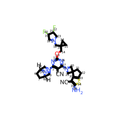 N#Cc1c(N2C[C@H]3CC[C@@H](C2)N3)nc(OCC2(CN3C[C@@H](F)[C@@H](F)C3)CC2)nc1N1CC2(CCc3sc(N)c(C#N)c32)C1